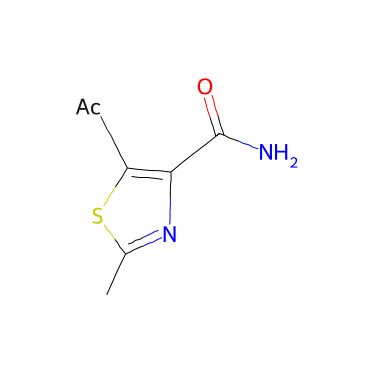 CC(=O)c1sc(C)nc1C(N)=O